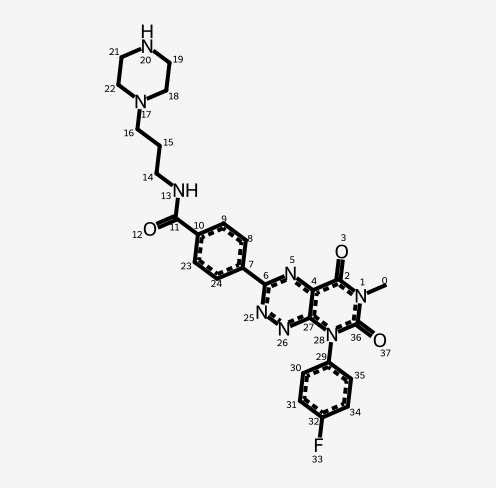 Cn1c(=O)c2nc(-c3ccc(C(=O)NCCCN4CCNCC4)cc3)nnc2n(-c2ccc(F)cc2)c1=O